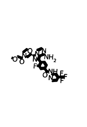 COCC(=O)N1CCO[C@@H](c2nc(-c3ccc(C(=O)Nc4cc(C(F)(F)F)ccn4)cc3F)c3c(N)nccn23)C1